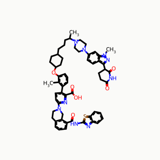 Cc1c(OC2CCC(CCCC(C)N3CCN(c4ccc5c(C6CCC(=O)NC6=O)nn(C)c5c4)CC3)CC2)cccc1-c1ccc(N2CCc3cccc(C(=O)Nc4nc5ccccc5s4)c3C2)nc1C(=O)O